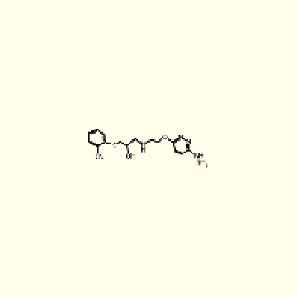 N#Cc1ccccc1OCC(O)CNCCOc1ccc(NN)nn1